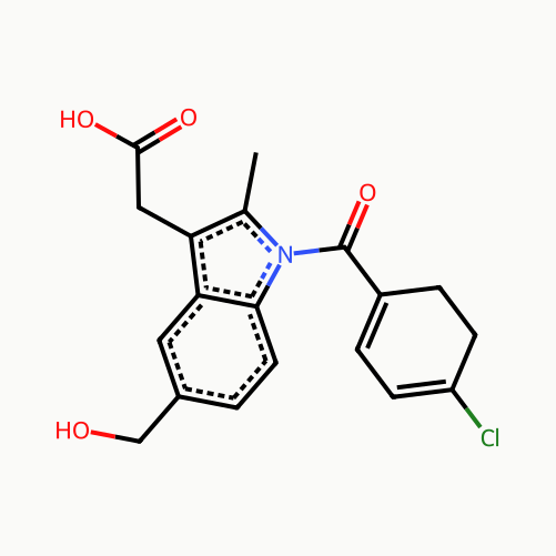 Cc1c(CC(=O)O)c2cc(CO)ccc2n1C(=O)C1=CC=C(Cl)CC1